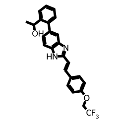 CC(O)c1ccccc1-c1ccc2[nH]c(C=Cc3ccc(OCC(F)(F)F)cc3)nc2c1